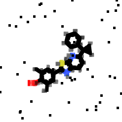 Cc1cc(-c2nc3ccc(C4(c5ccccc5)C=C4)nc3s2)cc(C)c1O